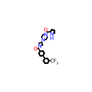 O=C(c1ccc(-c2cccc(C(F)(F)F)c2)cc1)N1CC(N2CCN(C(=O)c3ccc[nH]3)CC2)C1